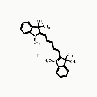 CN1\C(=C/C=C/C=C/C2=[N+](C)c3ccccc3C2(C)C)C(C)(C)c2ccccc21.[I-]